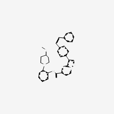 CNC1CCN(c2ccccc2NC(=O)c2ccn3ncc(-c4ccc(/C=C\c5ccccc5)cc4)c3n2)CC1